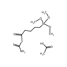 CC(=O)S.CO[Si](CCCCC(=O)SC(N)=S)(OC)OC